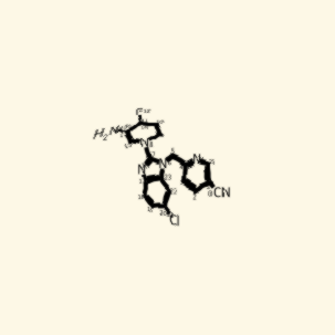 N#Cc1ccc(Cn2c(N3CC[C@H](F)[C@H](N)C3)nc3ccc(Cl)cc32)nc1